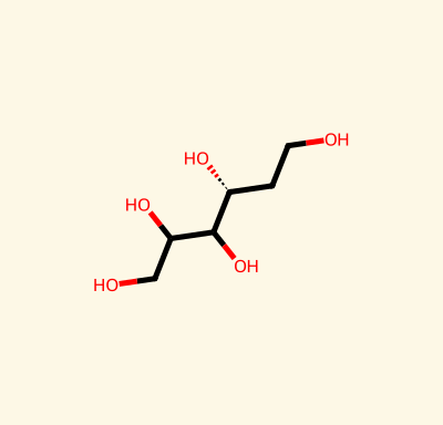 OCC[C@@H](O)C(O)C(O)CO